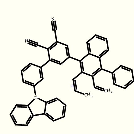 C=Cc1c(/C=C\C)c(-c2cc(C#N)c(C#N)c(-c3cccc(-n4c5ccccc5c5ccccc54)c3)c2)c2ccccc2c1-c1ccccc1